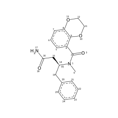 CN(C(=O)c1cccc2c1OCCO2)[C@H](CC(N)=O)Cc1ccccc1